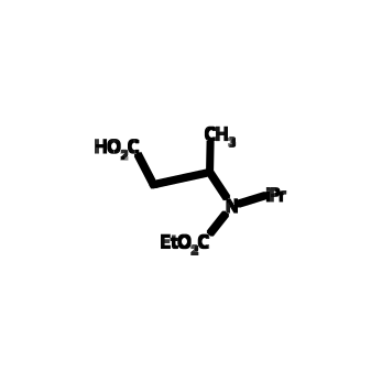 CCOC(=O)N(C(C)C)C(C)CC(=O)O